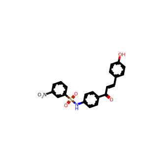 O=C(/C=C/c1ccc(O)cc1)c1ccc(NS(=O)(=O)c2cccc([N+](=O)[O-])c2)cc1